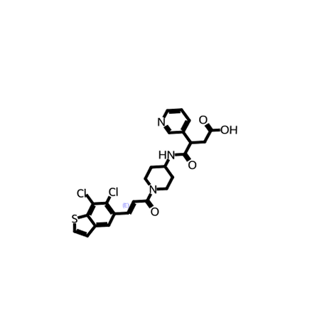 O=C(O)CC(C(=O)NC1CCN(C(=O)/C=C/c2cc3ccsc3c(Cl)c2Cl)CC1)c1cccnc1